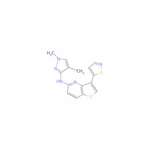 Cc1cn(C)nc1Nc1ccc2scc(-c3ccns3)c2n1